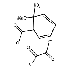 COC1([N+](=O)[O-])C=CC=CC1C(=O)Cl.O=C(Cl)C(=O)Cl